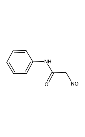 O=NCC(=O)Nc1ccccc1